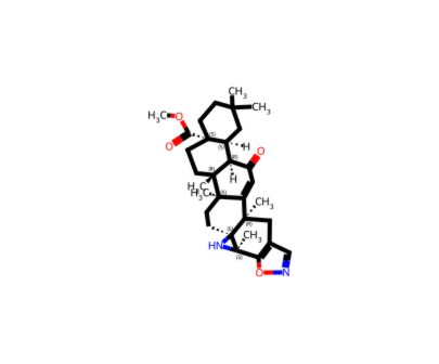 COC(=O)[C@]12CCC(C)(C)C[C@H]1[C@H]1C(=O)C=C3[C@@]4(C)Cc5cnoc5[C@@]5(C)N[C@@]45CC[C@@]3(C)[C@]1(C)CC2